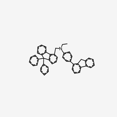 CCN(Cc1cccc2c1-c1ccccc1C2(c1ccccc1)c1ccccc1)c1ccc(-c2cccc3c2Cc2ccccc2-3)cc1